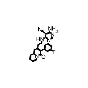 N#Cc1c(N)ncnc1NCCc1cc2ccccn2c(=O)c1-c1cccc(F)c1